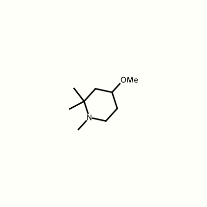 COC1CCN(C)C(C)(C)C1